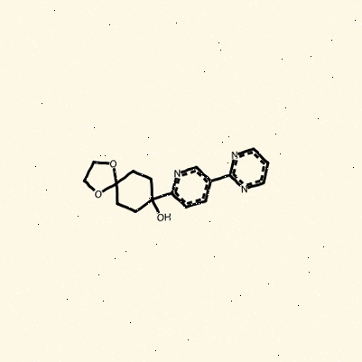 OC1(c2ccc(-c3ncccn3)cn2)CCC2(CC1)OCCO2